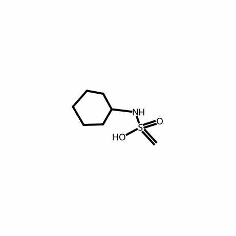 C=S(=O)(O)NC1CCCCC1